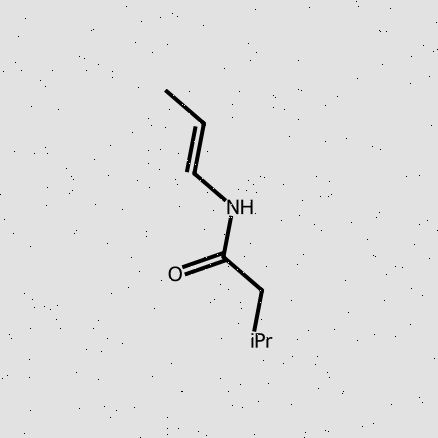 C/C=C/NC(=O)CC(C)C